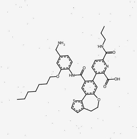 CCCCCCCOc1cc(CN)ccc1NC(=O)c1cc2c(cc1-c1ccc(C(=O)NCCC)nc1C(=O)O)OCCc1ccsc1-2